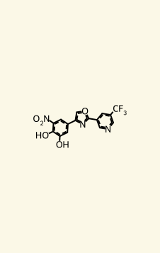 O=[N+]([O-])c1cc(-c2coc(-c3cncc(C(F)(F)F)c3)n2)cc(O)c1O